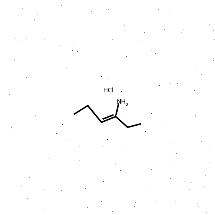 CCC=C(N)CC.Cl